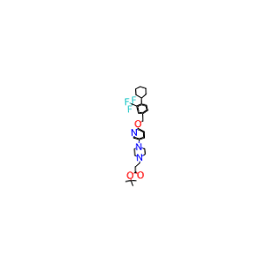 CC(C)(C)OC(=O)CCN1CCN(c2ccc(OCc3ccc(C4CCCCC4)c(C(F)(F)F)c3)nc2)CC1